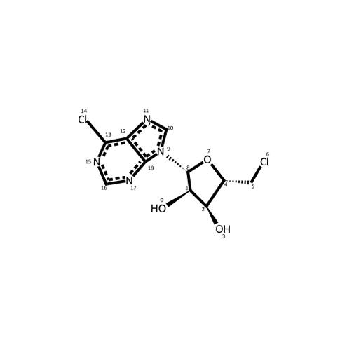 O[C@@H]1[C@H](O)[C@@H](CCl)O[C@H]1n1cnc2c(Cl)ncnc21